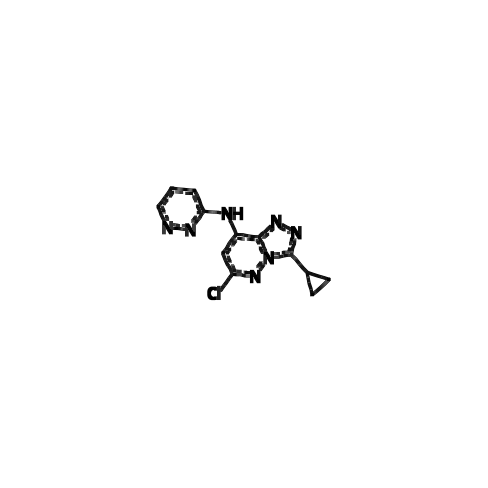 Clc1cc(Nc2cccnn2)c2nnc(C3CC3)n2n1